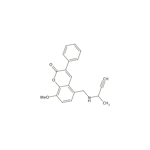 C#CC(C)NCc1ccc(OC)c2oc(=O)c(-c3ccccc3)cc12